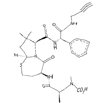 C#CCNC(=O)[C@@H](NC(=O)[C@H]1N2C(=O)[C@@H](NC(=O)[C@H](C)N(C)C(=O)O)CCS[C@H]2CC1(C)C)c1ccccc1